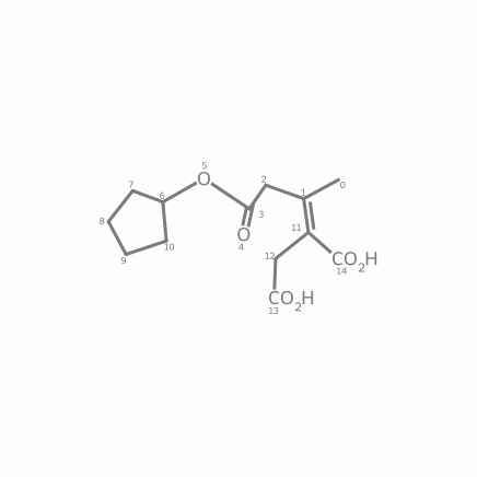 CC(CC(=O)OC1CCCC1)=C(CC(=O)O)C(=O)O